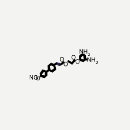 N#COc1ccc(-c2ccc(/C=C/C(=O)OCCC(=O)Oc3cc(N)cc(N)c3)cc2)cc1